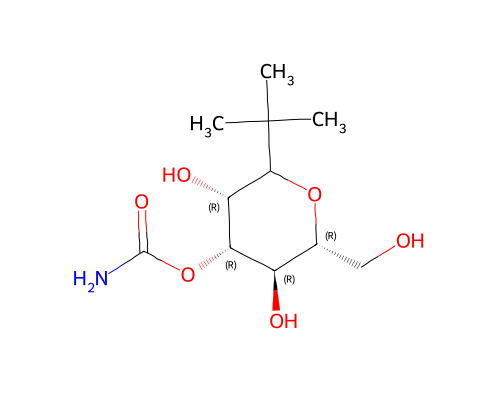 CC(C)(C)C1O[C@H](CO)[C@@H](O)[C@H](OC(N)=O)[C@@H]1O